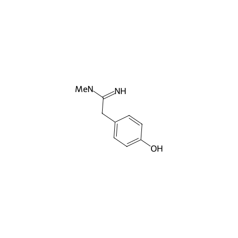 CNC(=N)Cc1ccc(O)cc1